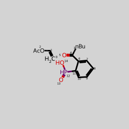 C=COC(C)=O.CCCCC(=O)c1ccccc1[PH](=O)O